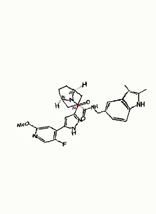 COc1cc(-c2cc(C(=O)N3[C@@H]4CC[C@H]3C[C@H](C(=O)NCc3ccc5[nH]c(C)c(C)c5c3)C4)n[nH]2)c(F)cn1